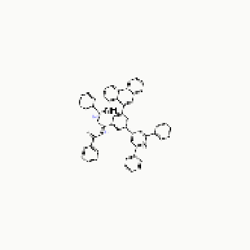 C=C(/C=C(\C=C(/N)c1ccccc1)c1cc(-c2cc(-c3ccccc3)nc(-c3ccccc3)c2)cc(-c2cc3ccccc3c3ccccc23)c1)c1ccccc1